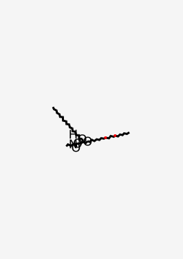 CCCCCCCCCCCCCCCCCCOCC(COC(=O)NCCC)OCCCCCCCCCCCCCCCCCC